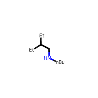 CCCCNCC(CC)CC